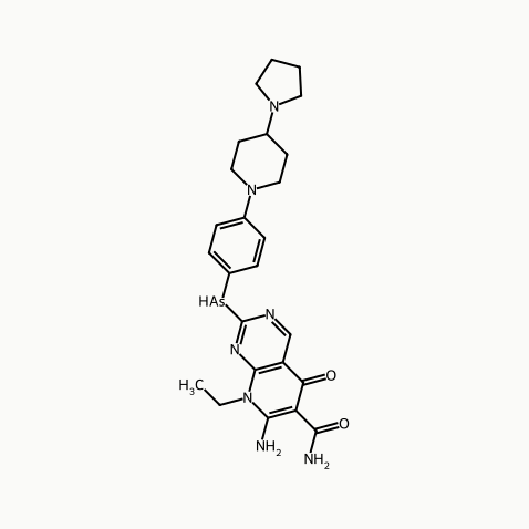 CCn1c(N)c(C(N)=O)c(=O)c2cnc([AsH]c3ccc(N4CCC(N5CCCC5)CC4)cc3)nc21